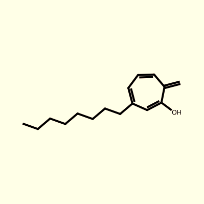 C=C1C=CC=C(CCCCCCCC)C=C1O